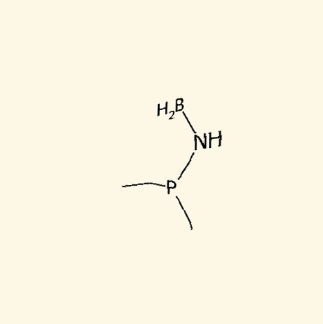 BNP(C)C